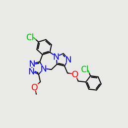 COCc1nnc2n1Cc1c(COCc3ccccc3Cl)ncn1-c1ccc(Cl)cc1-2